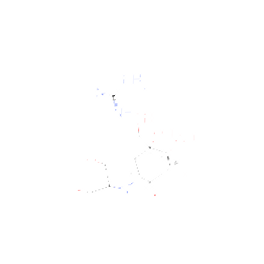 N=C(N)N.OCC(CO)N[C@H]1C[C@](O)(CO)[C@@H](O)[C@H](O)[C@H]1O